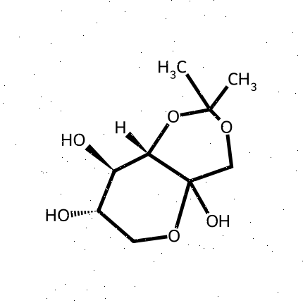 CC1(C)OCC2(O)OC[C@H](O)[C@@H](O)[C@@H]2O1